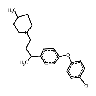 CC1CCN(CCC(C)c2ccc(Oc3ccc(Cl)cc3)cc2)CC1